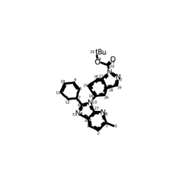 Cc1ccc2nc(C3C=CC=CC3)n(-c3ccc4c(cnn4C(=O)OC(C)(C)C)c3)c2n1